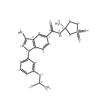 CCCc1nn(-c2cccc(OC(C)F)c2)c2ncc(C(=O)N[C@@]3(C)CCS(=O)(=O)C3)cc12